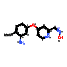 CNc1ccc(Oc2ccnc(/C=N\O)c2)cc1N